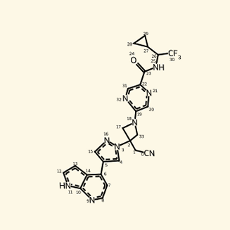 N#CCC1(n2cc(-c3ccnc4[nH]ccc34)cn2)CN(c2cnc(C(=O)NC(C3CC3)C(F)(F)F)cn2)C1